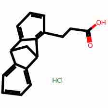 Cl.O=C(O)CCc1cccc2c1C1CC2c2ccccc21